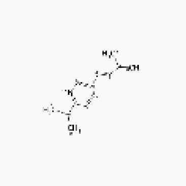 CC(C)/C=C/c1ccc(C(C)C)nc1